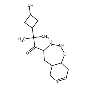 CC(C)(C(=O)C1CC2CN=CCC2ONN1)C1CC(O)C1